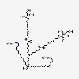 CCCCC/C=C\C/C=C\CCCCCCCCC(O)(CCCCCCCC/C=C\C/C=C\CCCCC)OCCCN(CCCCCC(=O)NCCOCCOCCO[C@@H](O)/C(O)=C/O)CCCCCC(=O)NCCOCCOCCO[C@@H](O)/C(O)=C(\O)CO